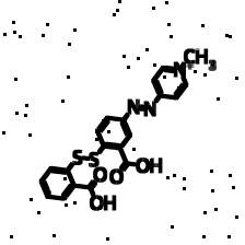 C[n+]1ccc(/N=N/c2ccc(SSc3ccccc3C(=O)O)c(C(=O)O)c2)cc1